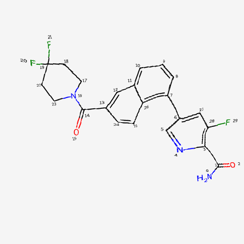 NC(=O)c1ncc(-c2cccc3cc(C(=O)N4CCC(F)(F)CC4)ccc23)cc1F